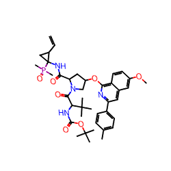 C=CC1CC1(NC(=O)C1CC(Oc2nc(-c3ccc(C)cc3)cc3cc(OC)ccc23)CN1C(=O)C(NC(=O)OC(C)(C)C)C(C)(C)C)P(C)(C)=O